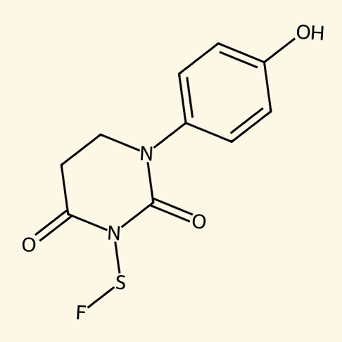 O=C1CCN(c2ccc(O)cc2)C(=O)N1SF